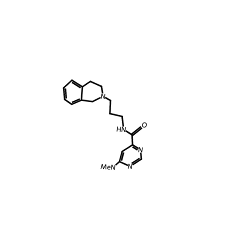 CNc1cc(C(=O)NCCCN2CCc3ccccc3C2)ncn1